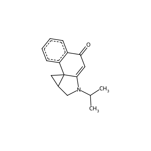 CC(C)N1CC2CC23C1=CC(=O)c1ccccc13